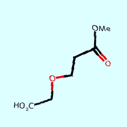 COC(=O)CCOCC(=O)O